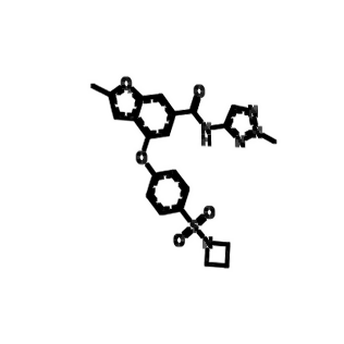 Cc1cc2c(Oc3ccc(S(=O)(=O)N4CCC4)cc3)cc(C(=O)Nc3cnn(C)n3)cc2o1